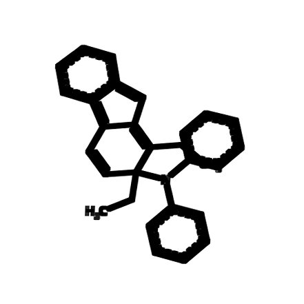 CCC1=C2C=c3ccccc3=C2C=CC1(CC)N(c1ccccc1)c1ccccc1